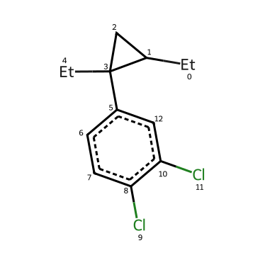 CCC1CC1(CC)c1ccc(Cl)c(Cl)c1